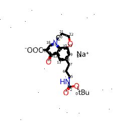 CC(C)(C)OC(=O)NCCCc1cc2c3c(c1)c(=O)c(C(=O)[O-])cn3CCCO2.[Na+]